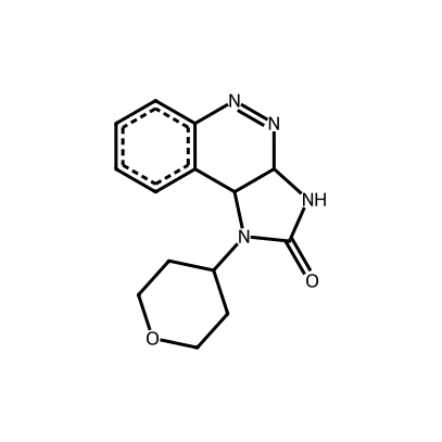 O=C1NC2N=Nc3ccccc3C2N1C1CCOCC1